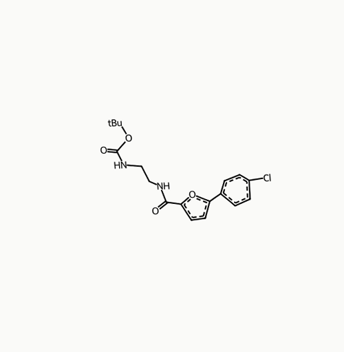 CC(C)(C)OC(=O)NCCNC(=O)c1ccc(-c2ccc(Cl)cc2)o1